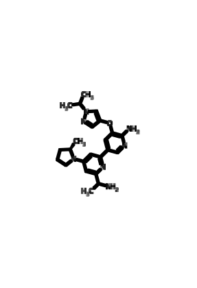 CC(N)c1cc(N2CCC[C@H]2C)cc(-c2cnc(N)c(Oc3cnn(C(C)C)c3)c2)n1